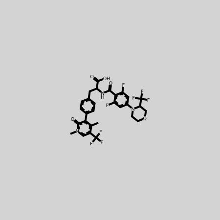 Cc1c(C(F)(F)F)cn(C)c(=O)c1-c1ccc(CC(NC(=O)c2c(F)cc(N3CCOCC3C(F)(F)F)cc2F)C(=O)O)cc1